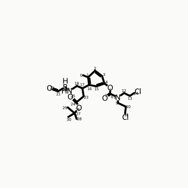 Cc1ccc(OC(=O)N(CCCl)CCCl)cc1C(CNBC=O)CC(=O)OC(C)(C)C